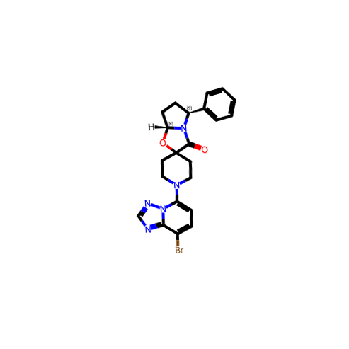 O=C1N2[C@@H](CC[C@H]2c2ccccc2)OC12CCN(c1ccc(Br)c3ncnn13)CC2